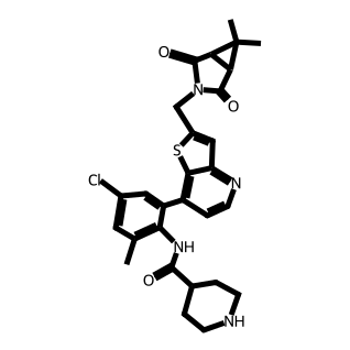 Cc1cc(Cl)cc(-c2ccnc3cc(CN4C(=O)C5C(C4=O)C5(C)C)sc23)c1NC(=O)C1CCNCC1